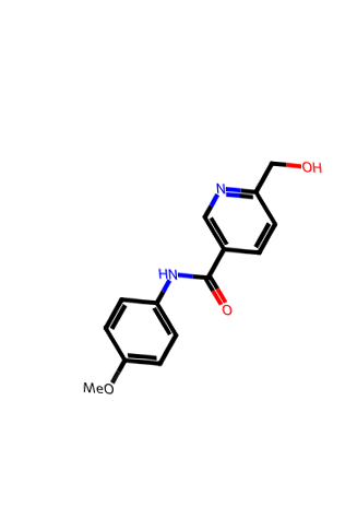 COc1ccc(NC(=O)c2ccc(CO)nc2)cc1